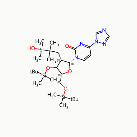 CC(C)(C[C@H]1C(O[Si](C)(C)C(C)(C)C)[C@@H](CO[Si](C)(C)C(C)(C)C)O[C@H]1n1ccc(-n2cncn2)nc1=O)[Si](C)(C)O